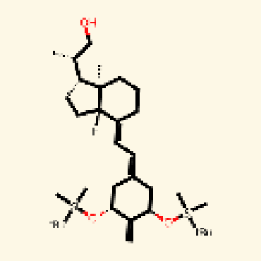 C=C1[C@H](O[Si](C)(C)C(C)(C)C)CC(=C/C=C2\CCC[C@]3(C)[C@@H]([C@H](C)CO)CC[C@@H]23)C[C@H]1O[Si](C)(C)C(C)(C)C